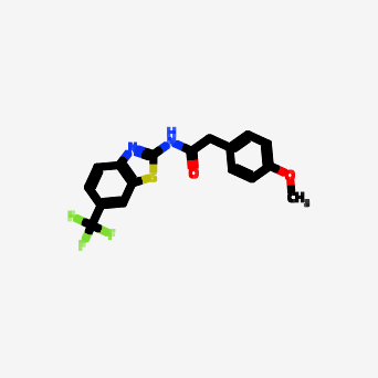 COc1ccc(CC(=O)Nc2nc3ccc(C(F)(F)F)cc3s2)cc1